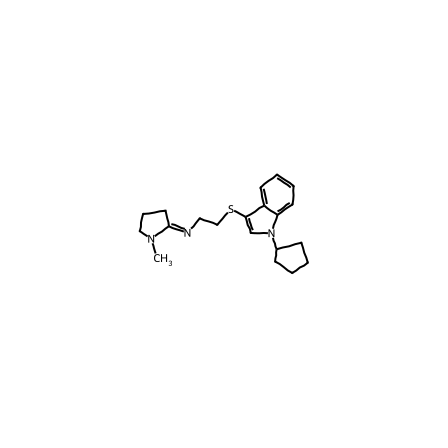 CN1CCC/C1=N\CCSc1cn(C2CCCC2)c2ccccc12